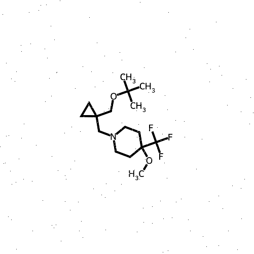 COC1(C(F)(F)F)CCN(CC2(COC(C)(C)C)CC2)CC1